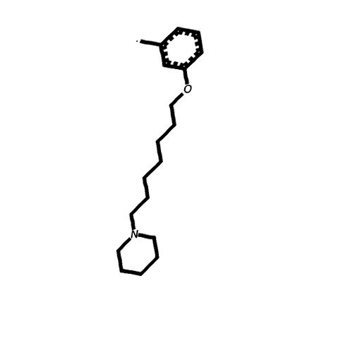 [CH2]c1cccc(OCCCCCCCN2CCCCC2)c1